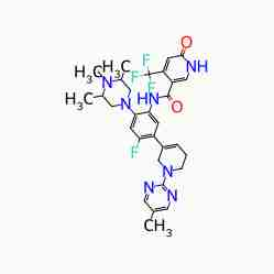 Cc1cnc(N2CCC=C(c3cc(NC(=O)c4c[nH]c(=O)cc4C(F)(F)F)c(N4CC(C)N(C)C(C)C4)cc3F)C2)nc1